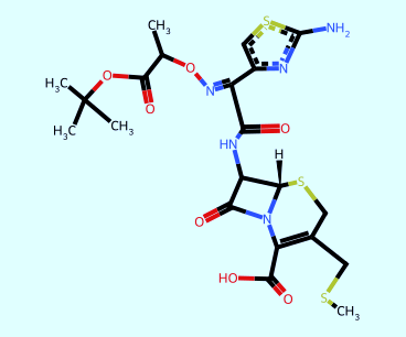 CSCC1=C(C(=O)O)N2C(=O)C(NC(=O)C(=NOC(C)C(=O)OC(C)(C)C)c3csc(N)n3)[C@@H]2SC1